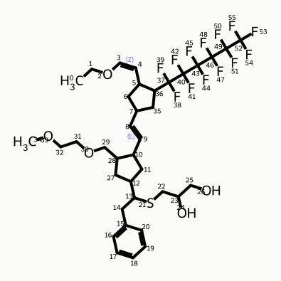 CCO/C=C\C1CC(/C=C/C2CC(C(Cc3ccccc3)SCC(O)CO)CC2COCCOC)CC1C(F)(F)C(F)(F)C(F)(F)C(F)(F)C(F)(F)C(F)(F)F